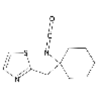 O=C=NC1(Cc2nccs2)CCCCC1